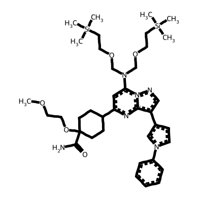 COCCOC1(C(N)=O)CCC(c2cc(N(COCC[Si](C)(C)C)COCC[Si](C)(C)C)n3ncc(-c4ccn(-c5ccccc5)c4)c3n2)CC1